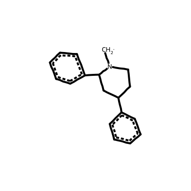 [CH2]N1CCC(c2ccccc2)CC1c1ccccc1